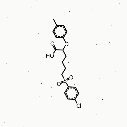 Cc1ccc(OC(CCCCS(=O)(=O)c2ccc(Cl)cc2)C(=O)O)cc1